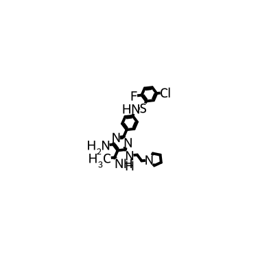 CC(=N)c1c(N)nc(-c2ccc(NSc3cc(Cl)ccc3F)cc2)nc1NCCN1CCCC1